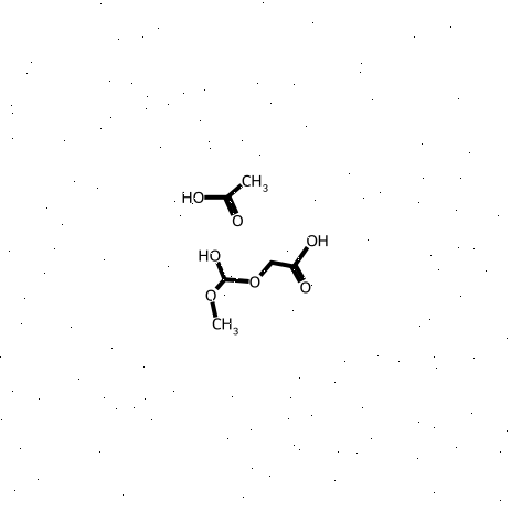 CC(=O)O.COC(O)OCC(=O)O